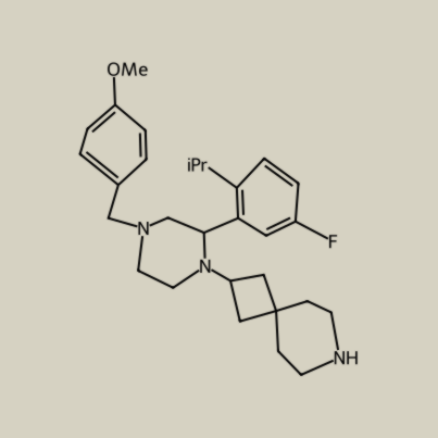 COc1ccc(CN2CCN(C3CC4(CCNCC4)C3)C(c3cc(F)ccc3C(C)C)C2)cc1